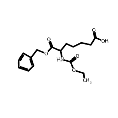 CCOC(=O)NC(CCCCC(=O)O)C(=O)OCc1ccccc1